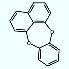 c1ccc2c(c1)Oc1cccc3cccc(c13)O2